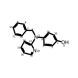 Oc1ccc(N(Cc2ccccc2)c2ccccn2)cc1